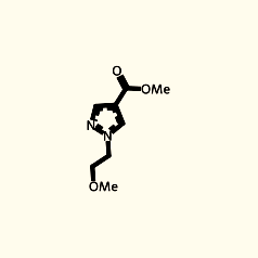 COCCn1cc(C(=O)OC)cn1